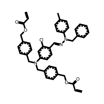 C=CC(=O)OCc1ccc(CN(Cc2ccc(COC(=O)C=C)cc2)c2ccc(C=NN(Cc3ccccc3)c3ccc(C)cc3)c(Cl)c2)cc1